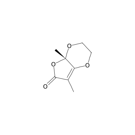 CC1=C2OCCO[C@@]2(C)OC1=O